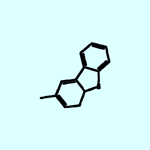 CC1=CCC2Sc3ccccc3C2=C1